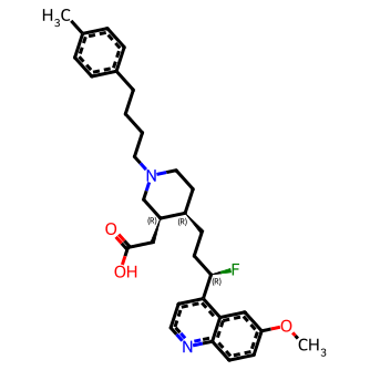 COc1ccc2nccc([C@H](F)CC[C@@H]3CCN(CCCCc4ccc(C)cc4)C[C@@H]3CC(=O)O)c2c1